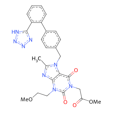 COCCn1c(=O)n(CC(=O)OC)c(=O)c2c1nc(C)n2Cc1ccc(-c2ccccc2-c2nnn[nH]2)cc1